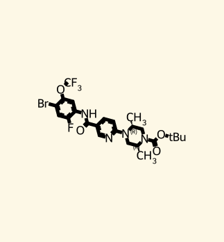 C[C@@H]1CN(c2ccc(C(=O)Nc3cc(OC(F)(F)F)c(Br)cc3F)cn2)[C@H](C)CN1C(=O)OC(C)(C)C